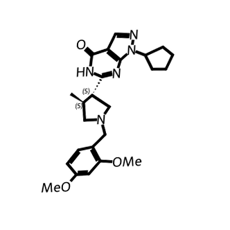 COc1ccc(CN2C[C@@H](C)[C@H](c3nc4c(cnn4C4CCCC4)c(=O)[nH]3)C2)c(OC)c1